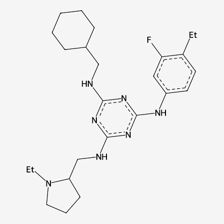 CCc1ccc(Nc2nc(NCC3CCCCC3)nc(NCC3CCCN3CC)n2)cc1F